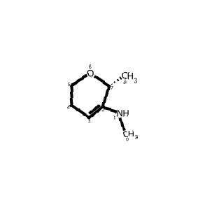 CNC1=CCCO[C@@H]1C